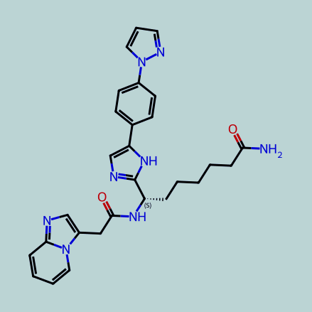 NC(=O)CCCCC[C@H](NC(=O)Cc1cnc2ccccn12)c1ncc(-c2ccc(-n3cccn3)cc2)[nH]1